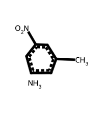 Cc1cccc([N+](=O)[O-])c1.N